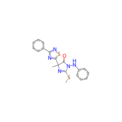 CSC1=NC(C)(c2nc(-c3ccccc3)ns2)C(=O)N1Nc1ccccc1